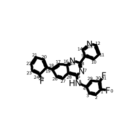 Fc1ccc(Nc2nc(-c3cccnc3)nc3cc(-c4ccccc4F)ccc23)cc1F